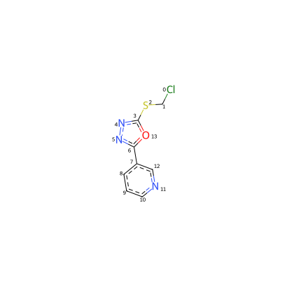 ClCSc1nnc(-c2cccnc2)o1